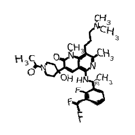 CC(=O)N1CCC(O)(c2cc3c(N[C@H](C)c4cccc(C(F)F)c4F)nc(C)c(CCCN(C)C)c3n(C)c2=O)CC1